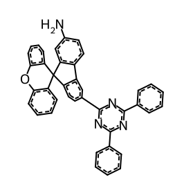 Nc1ccc2c(c1)C1(c3ccccc3Oc3ccccc31)c1ccc(-c3nc(-c4ccccc4)nc(-c4ccccc4)n3)cc1-2